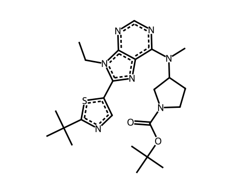 CCn1c(-c2cnc(C(C)(C)C)s2)nc2c(N(C)C3CCN(C(=O)OC(C)(C)C)C3)ncnc21